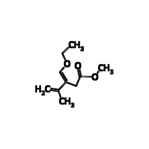 C=C(C)C(=COCC)CC(=O)OC